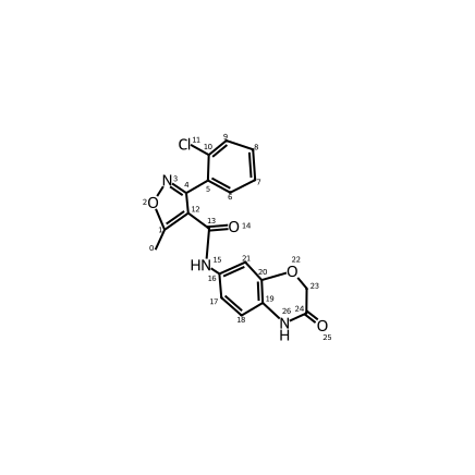 Cc1onc(-c2ccccc2Cl)c1C(=O)Nc1ccc2c(c1)OCC(=O)N2